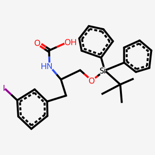 CC(C)(C)[Si](OCC(Cc1cccc(I)c1)NC(=O)O)(c1ccccc1)c1ccccc1